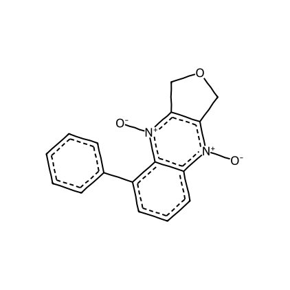 [O-][n+]1c2c([n+]([O-])c3c(-c4ccccc4)cccc31)COC2